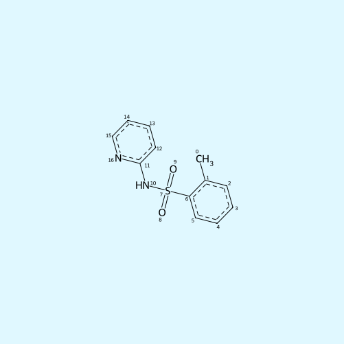 Cc1ccccc1S(=O)(=O)Nc1cc[c]cn1